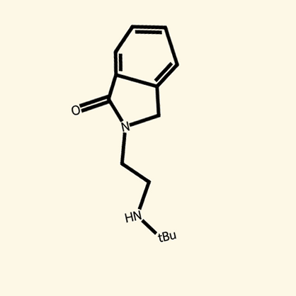 CC(C)(C)NCCN1Cc2ccccc2C1=O